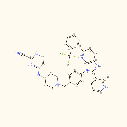 N#Cc1nccc(NC2CCN(Cc3ccc(-n4c(-c5cccnc5N)nc5ccc(-c6ccccc6C(F)(F)F)nc54)cc3)CC2)n1